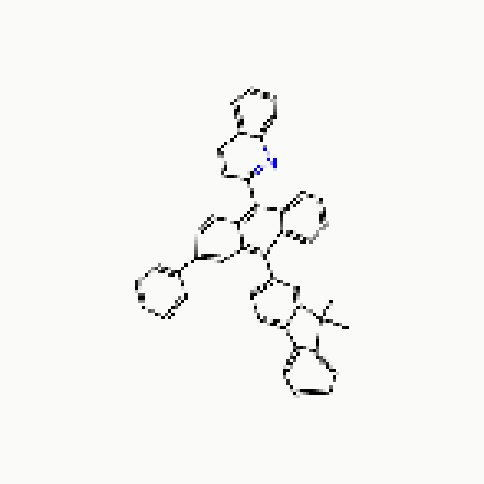 CC1(C)c2ccccc2-c2ccc(-c3c4ccccc4c(-c4ccc5ccccc5n4)c4ccc(-c5ccccc5)cc34)cc21